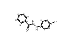 O=C(NNc1ccc(F)cc1)c1ccccn1